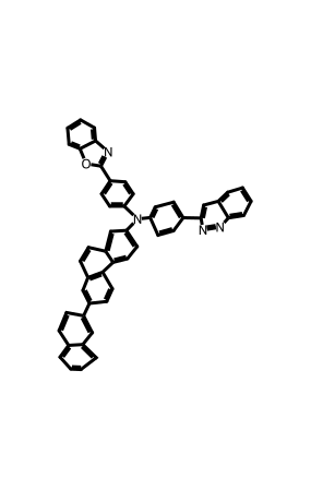 c1ccc2cc(-c3ccc4c(ccc5cc(N(c6ccc(-c7cc8ccccc8nn7)cc6)c6ccc(-c7nc8ccccc8o7)cc6)ccc54)c3)ccc2c1